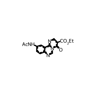 CCOC(=O)c1cnc2c3cc(NC(C)=O)ccc3ncn2c1=O